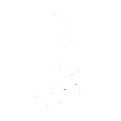 CO[C@H](CN(C)CCOC(=O)Nc1ccc(C(C)(C)C)cc1)[C@H]1OC(C)(C)O[C@H]1n1cnc2c(N)ncnc21